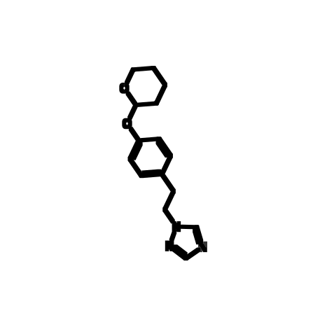 c1ncn(CCc2ccc(OC3CCCCO3)cc2)n1